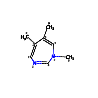 CC1=CN=CN(C)C=C1C